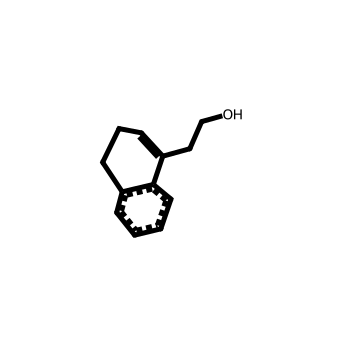 OCCC1=CCCc2ccccc21